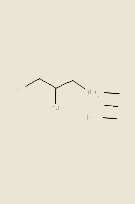 CC(=O)O.CC(=O)O.CC(=O)O.NCC(N)CO